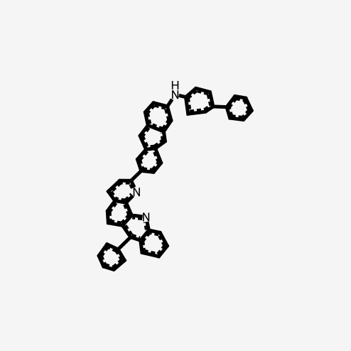 c1ccc(-c2ccc(Nc3ccc4cc5cc(-c6ccc7ccc8c(-c9ccccc9)c9ccccc9nc8c7n6)ccc5cc4c3)cc2)cc1